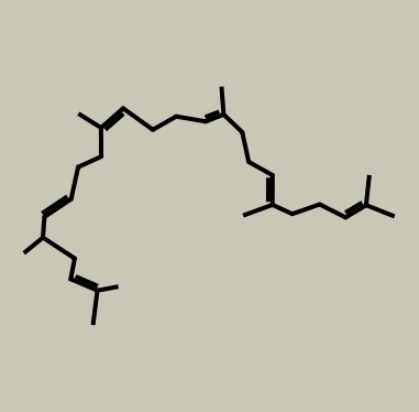 CC(C)=CCCC(C)=CCCC(C)=CCCC=C(C)CCC=CC(C)CC=C(C)C